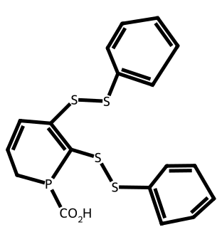 O=C(O)P1CC=CC(SSc2ccccc2)=C1SSc1ccccc1